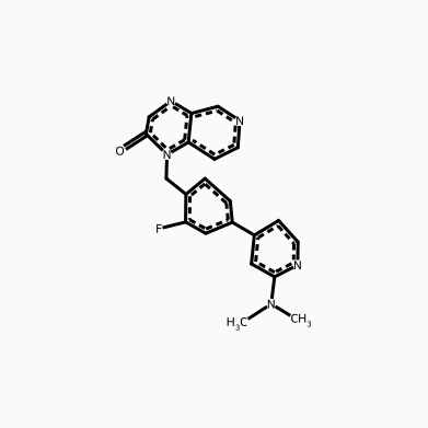 CN(C)c1cc(-c2ccc(Cn3c(=O)cnc4cnccc43)c(F)c2)ccn1